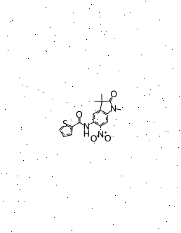 CN1C(=O)C(C)(C)c2cc(NC(=O)c3cccs3)c([N+](=O)[O-])cc21